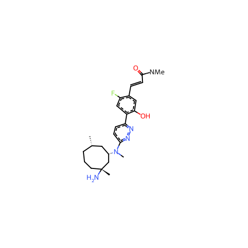 CNC(=O)/C=C/c1cc(O)c(-c2ccc(N(C)[C@H]3C[C@@H](C)CCC[C@@](C)(N)C3)nn2)cc1F